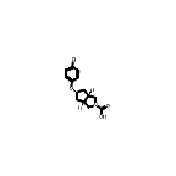 O=C(O)N1C[C@H]2C[C@@H](Oc3ccc(Cl)cc3)C[C@H]2C1